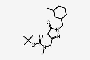 CC1CCCC(CN2N=C(CN(C)C(=O)OC(C)(C)C)CC2=O)C1